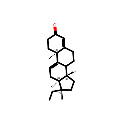 CC[C@@]1(C)CC[C@H]2C3CCC4=CC(=O)CC[C@]4(C)C3=CC[C@@]21C